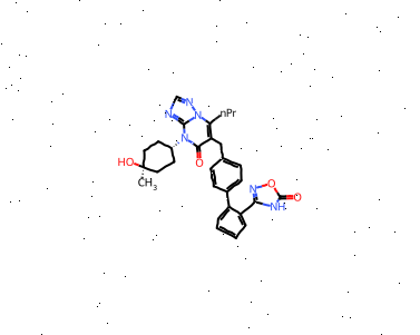 CCCc1c(Cc2ccc(-c3ccccc3-c3noc(=O)[nH]3)cc2)c(=O)n([C@H]2CC[C@](C)(O)CC2)c2ncnn12